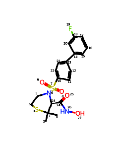 CC1(C)SCCN(S(=O)(=O)c2ccc(-c3cccc(F)c3)cc2)[C@H]1C(=O)NO